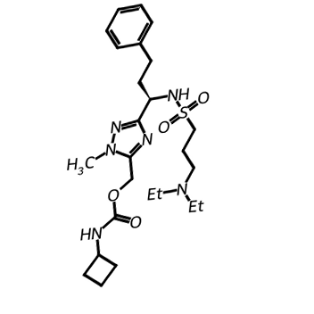 CCN(CC)CCCS(=O)(=O)N[C@H](CCc1ccccc1)c1nc(COC(=O)NC2CCC2)n(C)n1